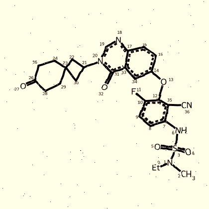 CCN(C)S(=O)(=O)Nc1ccc(F)c(Oc2ccc3ncn(C4CC5(CCC(=O)CC5)C4)c(=O)c3c2)c1C#N